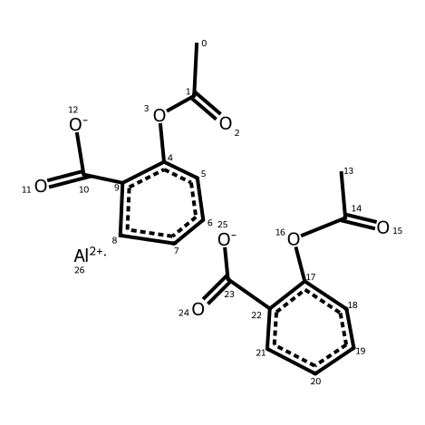 CC(=O)Oc1ccccc1C(=O)[O-].CC(=O)Oc1ccccc1C(=O)[O-].[Al+2]